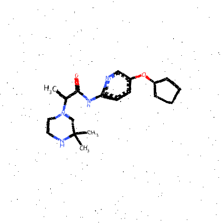 CC(C(=O)Nc1ccc(OC2CCCC2)cn1)N1CCNC(C)(C)C1